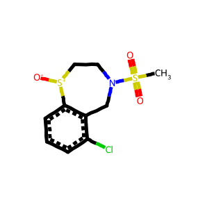 CS(=O)(=O)N1CC[S+]([O-])c2cccc(Cl)c2C1